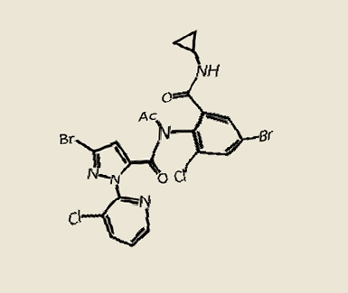 CC(=O)N(C(=O)c1cc(Br)nn1-c1ncccc1Cl)c1c(Cl)cc(Br)cc1C(=O)NC1CC1